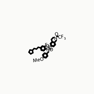 COc1ccc(CN(c2ccc(CCCC3CCCC3)cc2F)S(=O)(=O)c2ccc3c(c2)CCN(C(=O)C(F)(F)F)C3)cc1